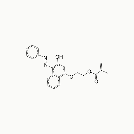 C=C(C)C(=O)OCCOc1cc(O)c(N=Nc2ccccc2)c2ccccc12